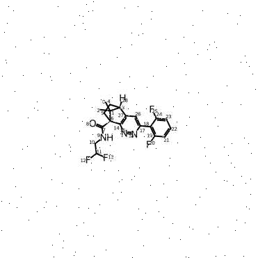 CC1(C)[C@@H]2CC[C@@]1(C(=O)NCC(F)F)c1nnc(-c3c(F)cccc3F)cc12